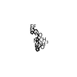 Cc1c(C(=O)N2CCC(C(F)(F)F)C3(CCC3)C2)cnn1-c1nn2cccc2c(=O)[nH]1